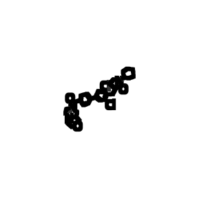 O=C(c1ccc(-c2cc(Cl)c(CC3CCN(C4CCCCC4)C3=O)c(Cl)c2)cc1)N1CCN2CCOCC2C1